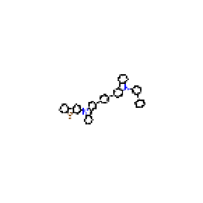 c1ccc(-c2cccc(-n3c4ccccc4c4cc(-c5ccc(-c6ccc7c(c6)c6ccccc6n7-c6ccc7c(c6)sc6ccccc67)cc5)ccc43)c2)cc1